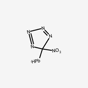 O=[N+]([O-])[C]1([PbH])N=NN=N1